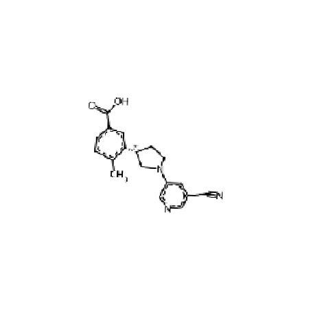 Cc1ccc(C(=O)O)cc1[C@@H]1CCN(c2cncc(C#N)c2)C1